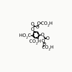 O=C(O)OOC(=O)Oc1cc(OC(=O)OOC(=O)O)c(C(=O)O)cc1C(=O)O